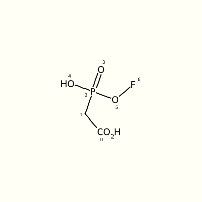 O=C(O)CP(=O)(O)OF